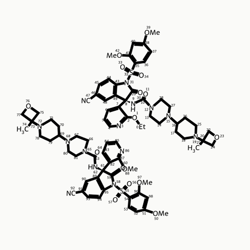 CCOc1ncccc1[C@]1(NC(=O)N2CCN(C3CCN(C4(C)COC4)CC3)CC2)C(=O)N(S(=O)(=O)c2ccc(OC)cc2OC)c2ccc(C#N)cc21.COc1ccc(S(=O)(=O)N2C(=O)[C@@](NC(=O)N3CCN(C4CCN(C5(C)COC5)CC4)CC3)(c3cccnc3OC)c3cc(C#N)ccc32)c(OC)c1